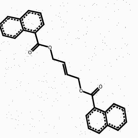 O=C(OCC=CCOC(=O)c1cccc2ccccc12)c1cccc2ccccc12